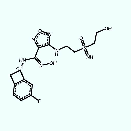 N=S(=O)(CCO)CCNc1nonc1C(=NO)N[C@H]1Cc2ccc(F)cc21